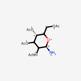 CC(=O)NC1C(OC(C)=O)[C@H](OC(C)=O)C(COC(C)=O)O[C@H]1N